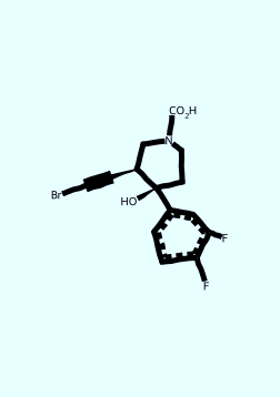 O=C(O)N1CC[C@](O)(c2ccc(F)c(F)c2)[C@@H](C#CBr)C1